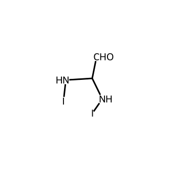 O=CC(NI)NI